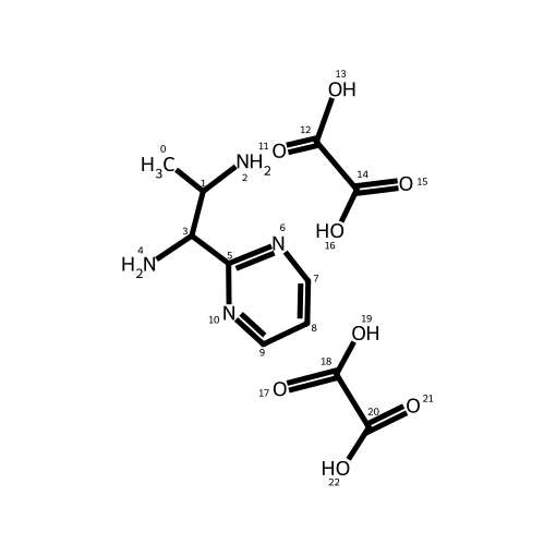 CC(N)C(N)c1ncccn1.O=C(O)C(=O)O.O=C(O)C(=O)O